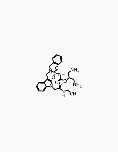 CCNC(=O)Cn1cc(CN(Cc2ccccc2)S(=O)(=O)NC(=O)OC(CN)CN)c2ccccc21